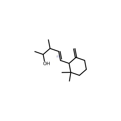 C=C1CCCC(C)(C)C1/C=C/C(C)C(C)O